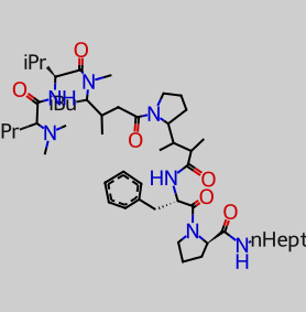 CCCCCCCNC(=O)[C@H]1CCCN1C(=O)[C@H](Cc1ccccc1)NC(=O)C(C)C(C)C1CCCN1C(=O)CC(C)C(C(C)CC)N(C)C(=O)[C@@H](NC(=O)C(C(C)C)N(C)C)C(C)C